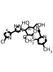 COC1C(n2cc(-c3nc(Cl)cs3)nn2)[C@@H](O)C(CO)O[C@@H]1Sc1cc(C)cnc1C#N